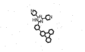 c1cc(C2=NC(c3ccncc3)=NC(c3ccncc3)N2)cc(-c2ccc3c4ccccc4c4ccccc4c3c2)c1